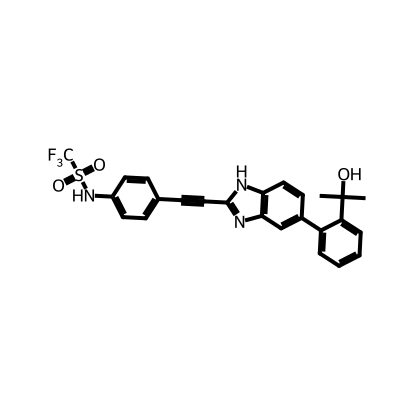 CC(C)(O)c1ccccc1-c1ccc2[nH]c(C#Cc3ccc(NS(=O)(=O)C(F)(F)F)cc3)nc2c1